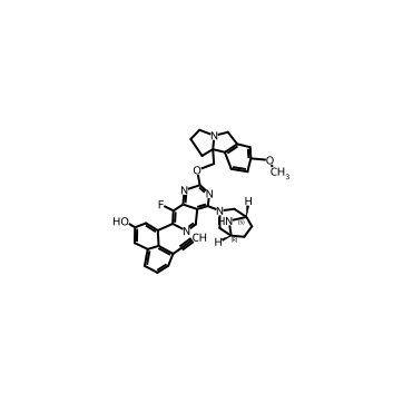 C#Cc1cccc2cc(O)cc(-c3ncc4c(N5C[C@H]6CC[C@@H](C5)N6)nc(OCC56CCCN5Cc5cc(OC)ccc56)nc4c3F)c12